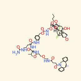 CCCC1O[C@@H]2C[C@H]3[C@@H]4C[C@H](F)C5=CC(=O)C=C[C@]5(C)[C@@]4(F)[C@@H](O)C[C@]3(C)[C@]2(C(=O)COCNC(=O)OCc2ccc(NC(=O)[C@H](CCCNC(N)=O)NC(=O)[C@@H](NC(=O)CCOCCNC(=O)CCC(=O)N3Cc4ccccc4/C=C\c4ccccc43)C(C)C)cc2)O1